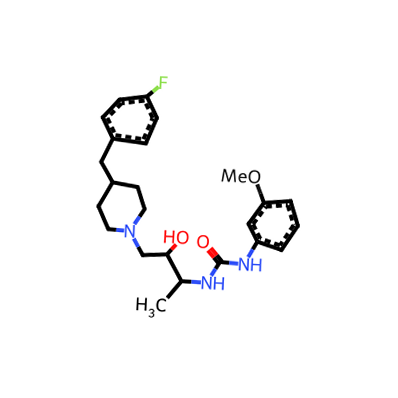 COc1cccc(NC(=O)NC(C)C(O)CN2CCC(Cc3ccc(F)cc3)CC2)c1